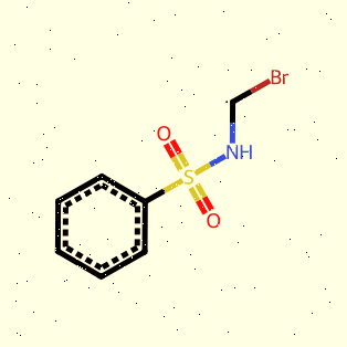 O=S(=O)(N[CH]Br)c1ccccc1